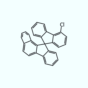 Clc1cccc2c1-c1ccccc1C21c2ccccc2-c2ccc3ccccc3c21